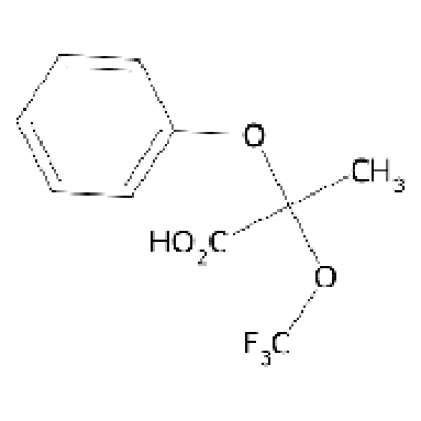 CC(Oc1ccccc1)(OC(F)(F)F)C(=O)O